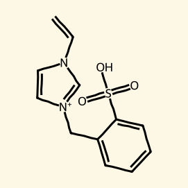 C=Cn1cc[n+](Cc2ccccc2S(=O)(=O)O)c1